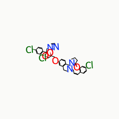 O=C1CCCN1C1c2ccc(OCC3COC(Cn4ccnc4)(c4ccc(Cl)cc4Cl)O3)cc2CCN1C/C=C\c1ccc(Cl)cc1